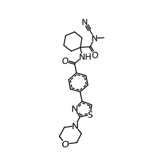 CN(C#N)C(=O)C1(NC(=O)c2ccc(-c3csc(N4CCOCC4)n3)cc2)CCCCC1